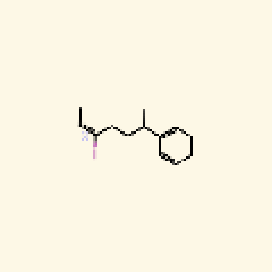 C/C=C(/I)CCC(C)C1=CCCC=C1